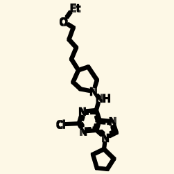 CCOCCCCC1CCN(Nc2nc(Cl)nc3c2ncn3C2CCCC2)CC1